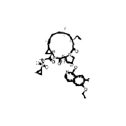 CCOc1cc2ccnc(O[C@@H]3C[C@H]4C(=O)N[C@]5(C(=O)NS(=O)(=O)C6CC6)CC5/C=C\CC[C@H](C)C[C@@H](CC)CC(=O)N4C3)c2cc1F